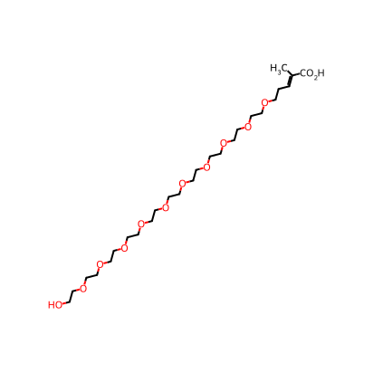 CC(=CCCOCCOCCOCCOCCOCCOCCOCCOCCOCCOCCO)C(=O)O